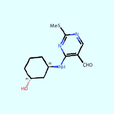 CSc1ncc(C=O)c(N[C@@H]2CCC[C@@H](O)C2)n1